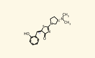 CN(C)[C@H]1CCN(C2=NC(=O)/C(=C\c3ccccc3O)S2)C1